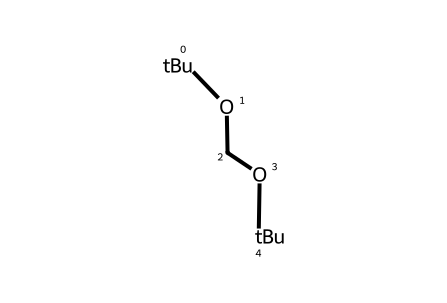 CC(C)(C)OCOC(C)(C)C